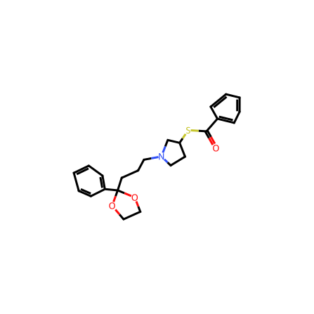 O=C(SC1CCN(CCCC2(c3ccccc3)OCCO2)C1)c1ccccc1